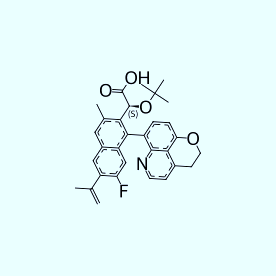 C=C(C)c1cc2cc(C)c([C@H](OC(C)(C)C)C(=O)O)c(-c3ccc4c5c(ccnc35)CCO4)c2cc1F